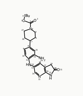 CC(C)(C)OC(=O)N1CCC(c2ccc(Nc3cnc4c(c3)CC(=O)N4)c(N)c2)CC1